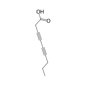 CCCC#CC#CCC(=O)O